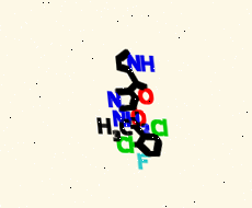 C[C@@H](Oc1c(N)ncc2c(-c3ccc[nH]3)coc12)c1c(Cl)ccc(F)c1Cl